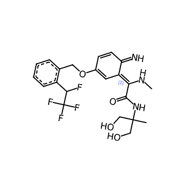 CN/C(C(=O)NC(C)(CO)CO)=C1/C=C(OCc2ccccc2C(F)C(F)(F)F)C=CC1=N